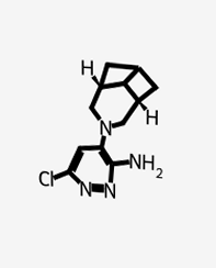 Nc1nnc(Cl)cc1N1C[C@H]2CC3C[C@@H](C1)C32